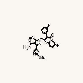 CC(C)(C)c1ncc(-c2nn(Cc3nc4ccc(F)cn4c(=O)c3-c3cccc(F)c3)c3ncnc(N)c23)s1